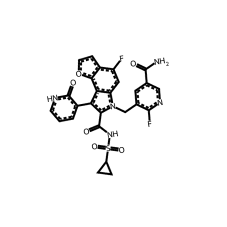 NC(=O)c1cnc(F)c(Cn2c(C(=O)NS(=O)(=O)C3CC3)c(-c3ccc[nH]c3=O)c3c4occc4c(F)cc32)c1